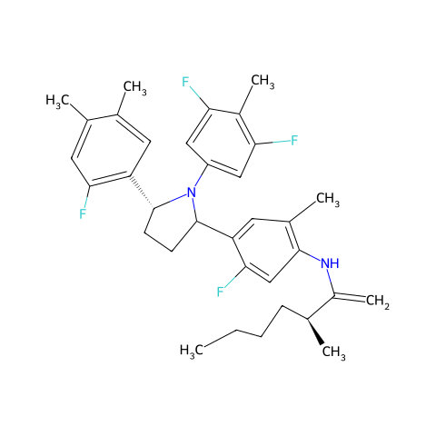 C=C(Nc1cc(F)c(C2CC[C@H](c3cc(C)c(C)cc3F)N2c2cc(F)c(C)c(F)c2)cc1C)[C@@H](C)CCCC